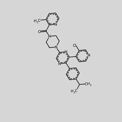 Cc1cccnc1C(=O)N1CCN(c2cnc(-c3ccc(C(C)C)cc3)c(-c3ccncc3Cl)n2)CC1